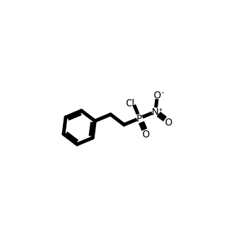 O=[N+]([O-])P(=O)(Cl)CCc1ccccc1